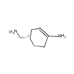 NC[C@@H]1CC=C(N)CC1